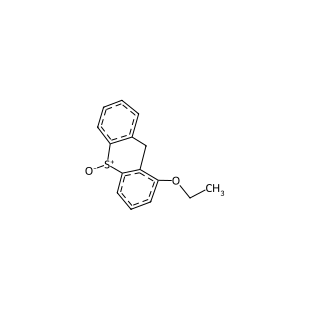 CCOc1cccc2c1Cc1ccccc1[S+]2[O-]